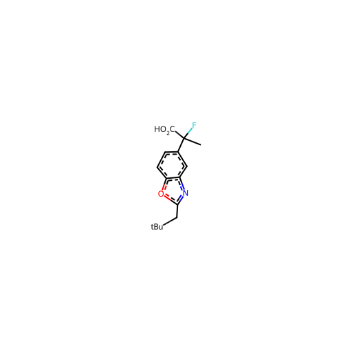 CC(C)(C)Cc1nc2cc(C(C)(F)C(=O)O)ccc2o1